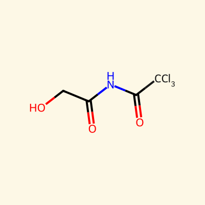 O=C(CO)NC(=O)C(Cl)(Cl)Cl